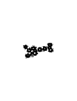 c1ccc(-c2ccc3c(c2)-c2cccc4c2c2c5c-3c(-c3ccccc3)sc5ccc2n4-c2ccc(-c3ccc(-n4c5ccccc5c5ccccc54)cc3)cc2)cc1